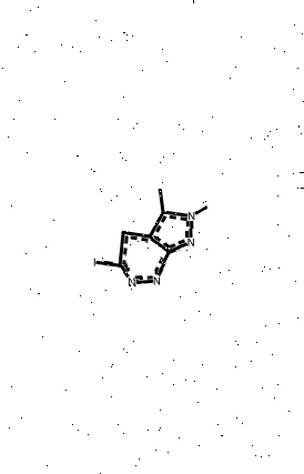 Cc1c2cc(I)nnc2nn1C